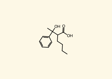 CCCCC(C(=O)O)C(C)(O)c1ccccc1